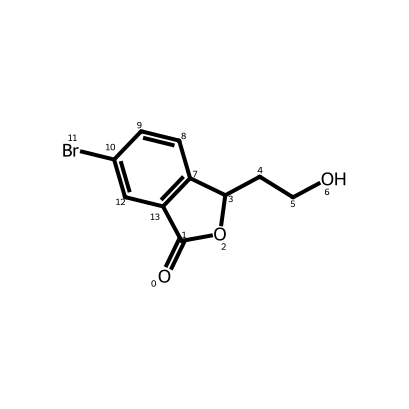 O=C1OC(CCO)c2ccc(Br)cc21